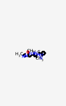 COc1nc(-c2cc(C)c(NC(C)c3ccccc3C#N)nn2)ccc1-n1cnc(C)c1